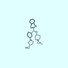 CN1CCC(OC(c2cccc(N3CCC(O)C3)c2)c2nc3ccccc3s2)CC1